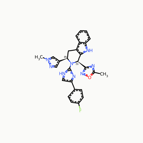 Cc1nc([C@@H]2c3[nH]c4ccccc4c3C[C@H](c3cnn(C)c3)N2c2nc(-c3ccc(F)cc3)c[nH]2)no1